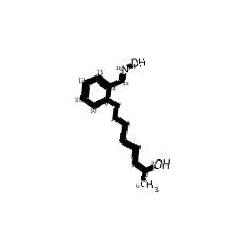 CC(O)CCCCCCc1ccccc1C=NO